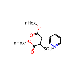 CCCCCCOC(=O)CC(C(=O)OCCCCCC)S(=O)(=O)O.c1ccncc1